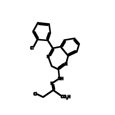 O=C(O)/C(CCl)=N\NC1=Nc2ccccc2C(c2ccccc2Cl)=NC1